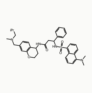 CC(C)CN(C)Cc1ccc2c(c1)OCCC2NC(=O)CC(NS(=O)(=O)c1cccc2c(N(C)C)cccc12)c1ccccc1